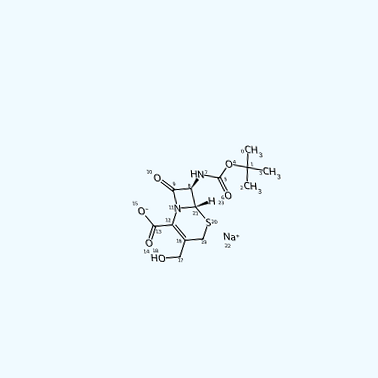 CC(C)(C)OC(=O)N[C@@H]1C(=O)N2C(C(=O)[O-])=C(CO)CS[C@@H]12.[Na+]